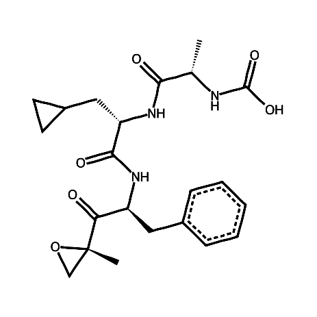 C[C@H](NC(=O)O)C(=O)N[C@@H](CC1CC1)C(=O)N[C@@H](Cc1ccccc1)C(=O)[C@]1(C)CO1